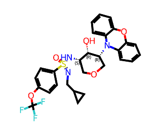 O=S(=NCC1CC1)(N[C@H]1COC[C@@H](N2c3ccccc3Oc3ccccc32)[C@H]1O)c1ccc(OC(F)(F)F)cc1